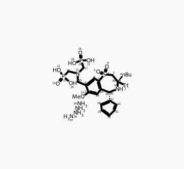 CCCC[C@]1(CC)CS(=O)(=O)c2cc(CN(CP(=O)(O)O)CP(=O)(O)O)c(OC)cc2[C@@H](c2ccccc2)N1.N.N.N.N